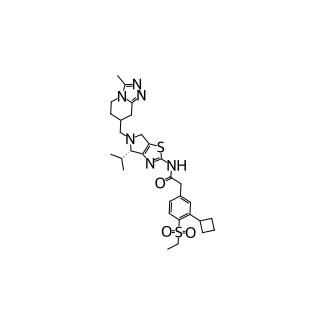 CCS(=O)(=O)c1ccc(CC(=O)Nc2nc3c(s2)CN(CC2CCn4c(C)nnc4C2)[C@H]3C(C)C)cc1C1CCC1